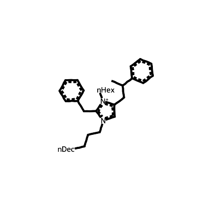 CCCCCCCCCCCCCn1cc(CC(C)c2ccccc2)[n+](CCCCCC)c1Cc1ccccc1